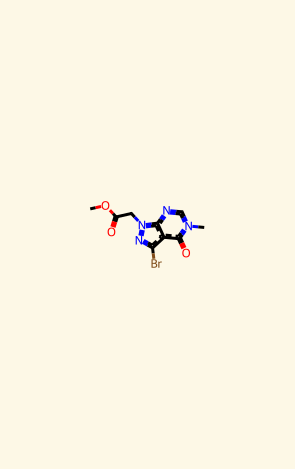 COC(=O)Cn1nc(Br)c2c(=O)n(C)cnc21